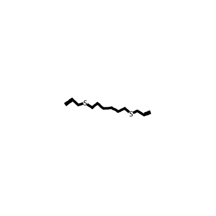 C=CCSCCCCCCSCC=C